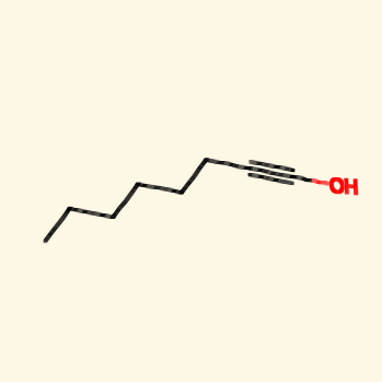 CCCCCCC#CO